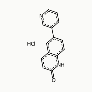 Cl.O=c1ccc2cc(-c3cccnc3)ccc2[nH]1